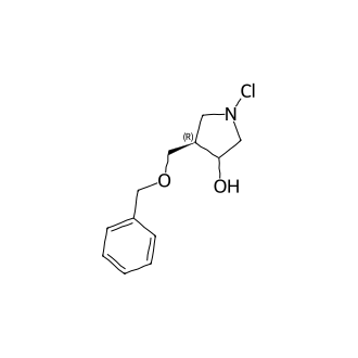 OC1CN(Cl)C[C@@H]1COCc1ccccc1